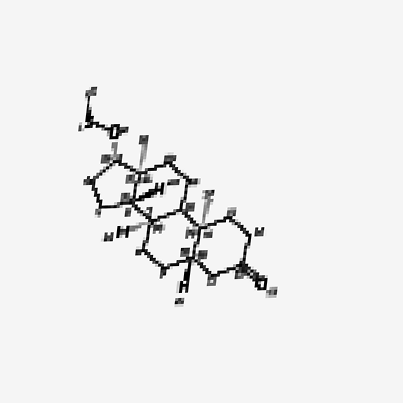 CSO[C@H]1CC[C@H]2[C@@H]3CC[C@H]4CC(=O)CC[C@]4(C)C3CC[C@]12C